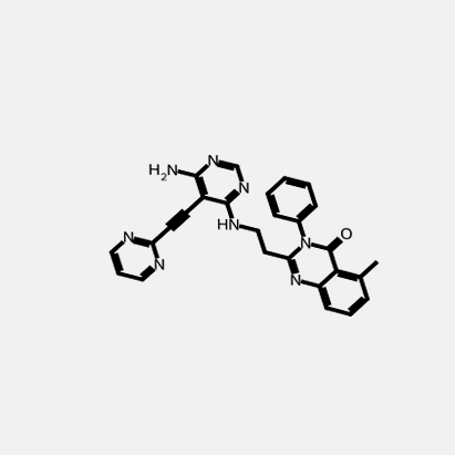 Cc1cccc2nc(CCNc3ncnc(N)c3C#Cc3ncccn3)n(-c3ccccc3)c(=O)c12